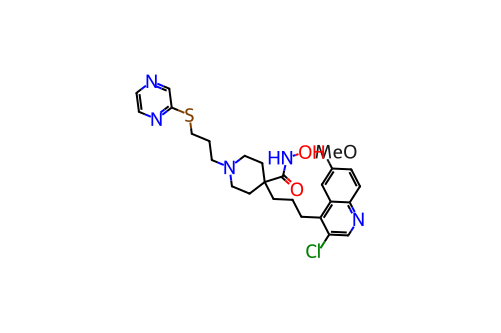 COc1ccc2ncc(Cl)c(CCCC3(C(=O)NO)CCN(CCCSc4cnccn4)CC3)c2c1